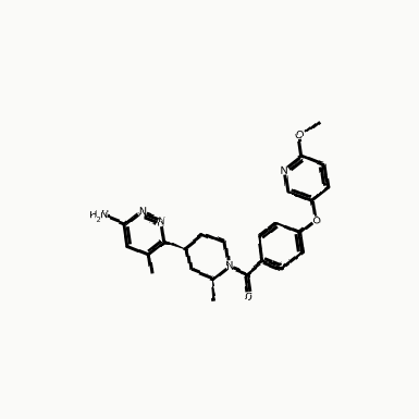 COc1ccc(Oc2ccc(C(=O)N3CC[C@H](c4nnc(N)cc4C)C[C@@H]3C)cc2)cn1